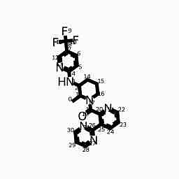 CC1C(Nc2ccc(C(F)(F)F)cn2)CCCN1C(=O)c1ncccc1-c1ncccn1